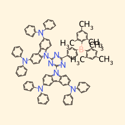 Cc1cc(C)c(B(c2ccc(-c3nc(-n4c5ccc(N(c6ccccc6)c6ccccc6)cc5c5cc(N(c6ccccc6)c6ccccc6)ccc54)nc(-n4c5ccc(N(c6ccccc6)c6ccccc6)cc5c5cc(N(c6ccccc6)c6ccccc6)ccc54)n3)cc2)c2c(C)cc(C)cc2C)c(C)c1